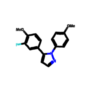 COc1ccc(-n2nccc2-c2ccc(OC)c(F)c2)cc1